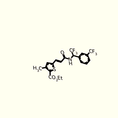 CCOC(=O)c1sc(/C=C/C(=O)NC(c2cccc(C(F)(F)F)c2)C(F)(F)F)cc1C